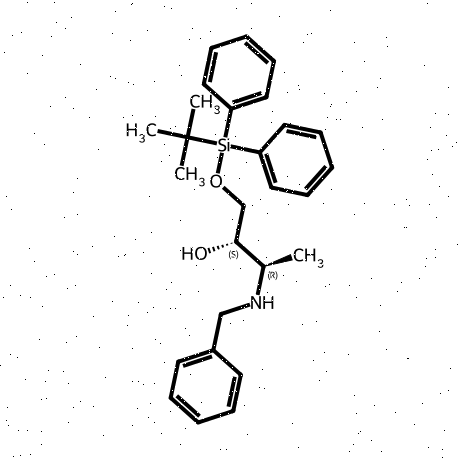 C[C@@H](NCc1ccccc1)[C@H](O)CO[Si](c1ccccc1)(c1ccccc1)C(C)(C)C